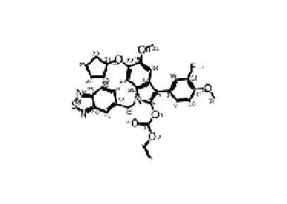 CCOC(=O)Oc1c(-c2ccc(OC)c(F)c2)c2cc(OC)c(OC3CCCC3)cc2n1Cc1ccc2nsnc2c1